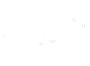 Cc1cc(-c2ccc(NC(=O)NCCc3ccc(C#N)cc3)cc2)ccn1